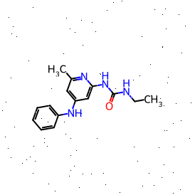 CCNC(=O)Nc1cc(Nc2ccccc2)cc(C)n1